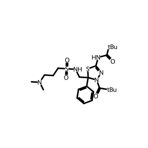 CN(C)CCCS(=O)(=O)NCC1(c2ccccc2)SC(NC(=O)C(C)(C)C)=NN1C(=O)C(C)(C)C